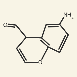 Nc1ccc2c(c1)C(C=O)C=CO2